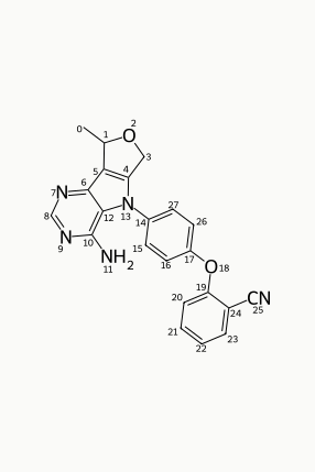 CC1OCc2c1c1ncnc(N)c1n2-c1ccc(Oc2ccccc2C#N)cc1